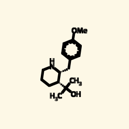 COc1ccc(C[C@H]2NCCC[C@H]2C(C)(C)O)cc1